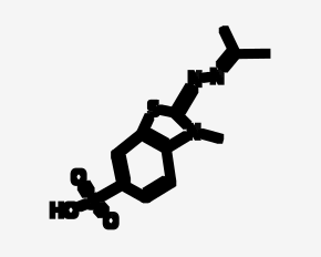 CC(C)=NN=c1sc2cc(S(=O)(=O)O)ccc2n1C